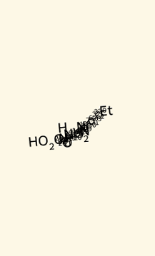 CCC1CCC(c2ccc(-c3cnc(-c4ccc(C[C@H](N)C(=O)N[C@H](C)C(=O)O)cc4)nc3)cc2)CC1